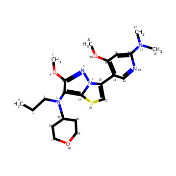 CCCN(c1c(OC)nn2c(-c3cnc(N(C)C)cc3OC)csc12)C1CCOCC1